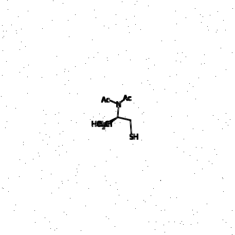 CC(=O)N(C(C)=O)[C@@H](CS)C(=O)O.[NaH]